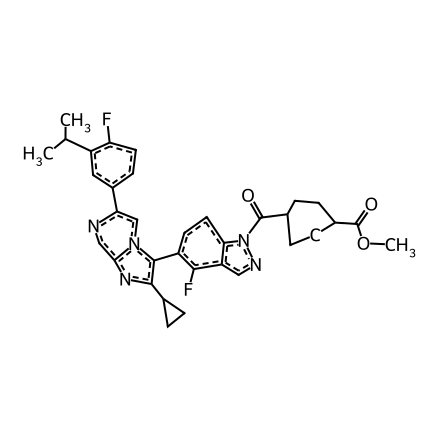 COC(=O)C1CCC(C(=O)n2ncc3c(F)c(-c4c(C5CC5)nc5cnc(-c6ccc(F)c(C(C)C)c6)cn45)ccc32)CC1